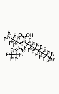 O=C(O)C(=C(C(=O)SC(F)(F)C(F)(F)F)C(F)(F)C(F)(F)N(F)F)C(F)(F)C(F)(F)C(F)(F)C(F)(F)C(F)(F)C(F)(F)C(F)(F)F